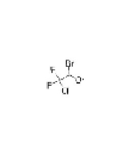 [O]C(Br)C(F)(F)Cl